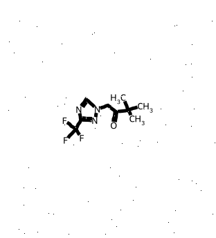 CC(C)(C)C(=O)Cn1cnc(C(F)(F)F)n1